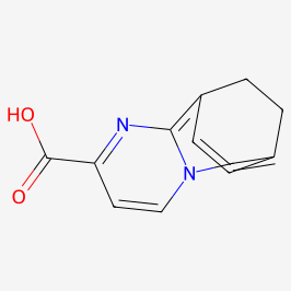 O=C(O)C1=NC2=C3C=CC(=CN2C=C1)CC3